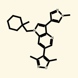 Cc1noc(C)c1-c1cnc2c(-c3cnn(C)c3)cn(CC3(C)CCCCC3)c2c1